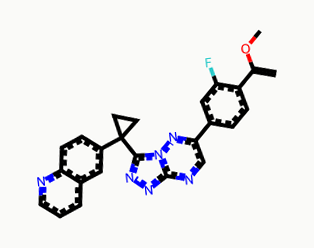 C=C(OC)c1ccc(-c2cnc3nnc(C4(c5ccc6ncccc6c5)CC4)n3n2)cc1F